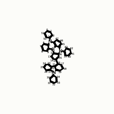 c1ccc(N2c3ccccc3B3c4ccc(-c5cccc6c5c5ccccc5n6-c5ccccc5)cc4N(c4ccccc4)c4cccc2c43)cc1